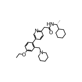 CCOc1ccc(-c2ccc(CC(=O)N[C@H](C)C3CCCCC3)nc2)c(CN2CCCCC2)c1